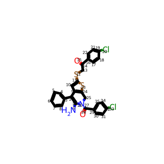 NC1=C(c2ccccc2)c2cc(SCC(=O)c3ccc(Cl)cc3)sc2CN1C(=O)c1ccc(Cl)cc1